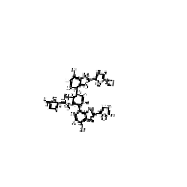 Cc1ccc(-c2nc3c(-c4ccc(C)c5nc(-c6ccc(Cl)s6)sc45)ccc(-c4ccc(C)c5sc(-c6ccco6)nc45)c3s2)s1